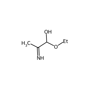 CCOC(O)C(C)=N